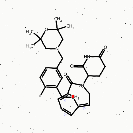 C\C1=C/C=C\C(OCc2cc(CN3CC(C)(C)OC(C)(C)C3)ccc2F)=C\CN(C2CCC(=O)NC2=O)C1=O